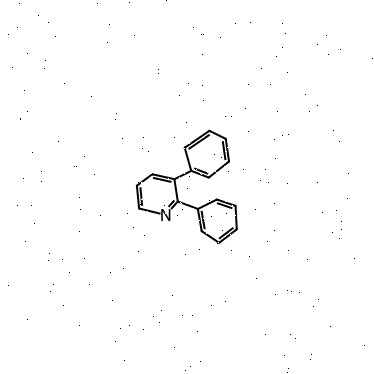 c1ccc(-c2cccnc2-c2ccccc2)cc1